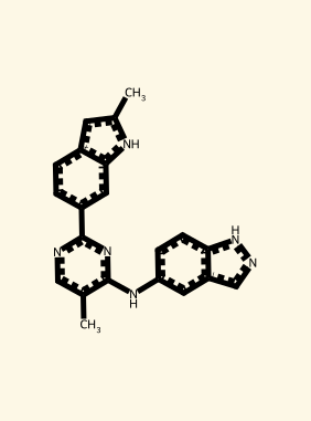 Cc1cc2ccc(-c3ncc(C)c(Nc4ccc5[nH]ncc5c4)n3)cc2[nH]1